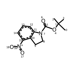 CC(C)(C)OC(=O)N1CCc2c1cccc2[N+](=O)[O-]